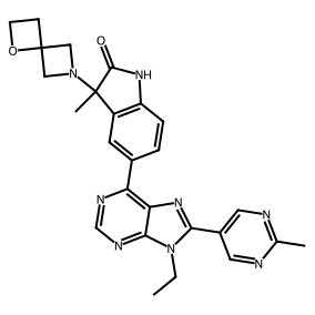 CCn1c(-c2cnc(C)nc2)nc2c(-c3ccc4c(c3)C(C)(N3CC5(CCO5)C3)C(=O)N4)ncnc21